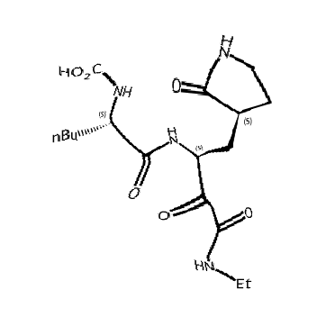 CCCC[C@H](NC(=O)O)C(=O)N[C@@H](C[C@@H]1CCNC1=O)C(=O)C(=O)NCC